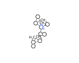 CC1(C)c2ccccc2-c2cccc(-c3cc(-c4ccc(-c5cccc6c5C(C)(C)c5ccc7ccccc7c5-6)c5ccccc45)nc(-c4ccccc4)n3)c21